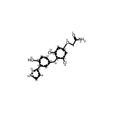 NC(=O)COc1cc(Cl)c(Cc2ccc(O)c(-c3ccns3)c2)c(Cl)c1